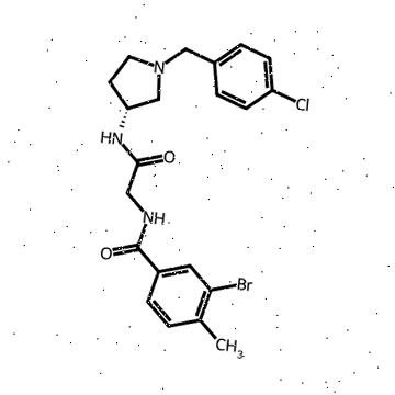 Cc1ccc(C(=O)NCC(=O)N[C@@H]2CCN(Cc3ccc(Cl)cc3)C2)cc1Br